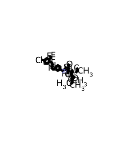 CC(C)C[C@@H](CN1C(=O)S/C(=C\c2ccc3c(cnn3Cc3ccc(Cl)cc3C(F)(F)F)c2)C1=O)NC(=O)OC(C)(C)C